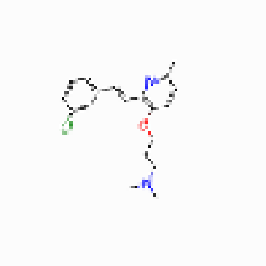 Cc1ccc(OCCCN(C)C)c(C=Cc2cccc(Cl)c2)n1